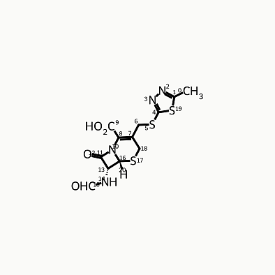 Cc1nnc(SCC2=C(C(=O)O)N3C(=O)[C@@H](NC=O)[C@H]3SC2)s1